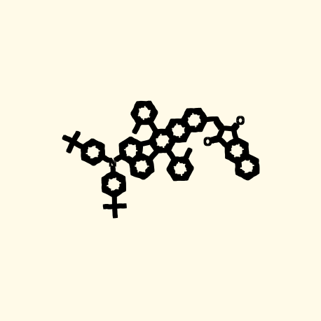 Cc1ccccc1-c1c2c(c(-c3ccccc3C)c3cc4cc(C=C5C(=O)c6cc7ccccc7cc6C5=O)ccc4cc13)-c1cccc3c(N(c4ccc(C(C)(C)C)cc4)c4ccc(C(C)(C)C)cc4)ccc-2c13